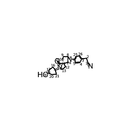 N#CCc1ccc(N2CCC[C@@]3(CCN([C@H]4CC[C@H](O)CC4)C3=O)C2)cc1